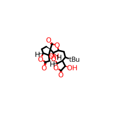 C[C@@H]1C(=O)O[C@H]2CC[C@]3(C(=O)OC4CC(C(C)(C)C)C5[C@@H](OC(=O)[C@@H]5O)O[C@H]43)[C@]21O